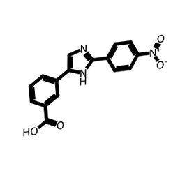 O=C(O)c1cccc(-c2cnc(-c3ccc([N+](=O)[O-])cc3)[nH]2)c1